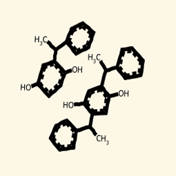 CC(c1ccccc1)c1cc(O)c(C(C)c2ccccc2)cc1O.CC(c1ccccc1)c1cc(O)ccc1O